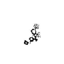 CC(C)(C)OC(=O)N1CCCc2nc(C3(c4cccc(Oc5ccccc5)c4)CC3)[nH]c(=O)c2C1